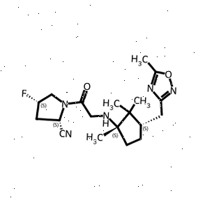 Cc1nc(C[C@@H]2CC[C@](C)(NCC(=O)N3C[C@@H](F)C[C@H]3C#N)C2(C)C)no1